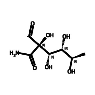 C[C@@H](O)[C@@H](O)[C@H](O)[C@@](O)([C]=O)C(N)=O